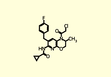 CC1COc2nc(NC(=O)C3CC3)c(Cc3ccc(F)cc3)cc2N1C(=O)CCl